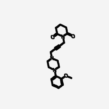 COc1ccccc1N1CCN(CC#CCN2C(=O)CCCC2=O)CC1